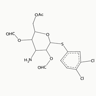 CC(=O)OCC1OC(Sc2ccc(Cl)c(Cl)c2)C(OC=O)C(N)C1OC=O